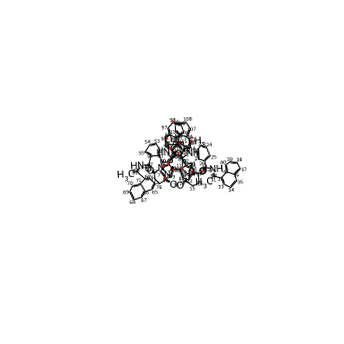 C[C@H](NC(=O)c1ccccc1[C@@H]1N2C(=O)CCC(=O)N2[C@@H](c2ccccc2C(=O)N[C@@H](C)c2cccc3ccccc23)P1c1ccccc1P1[C@H](c2ccccc2C(=O)N[C@@H](C)c2cccc3ccccc23)N2C(=O)CCC(=O)N2[C@H]1c1ccccc1C(=O)N[C@@H](C)c1cccc2ccccc12)c1cccc2ccccc12